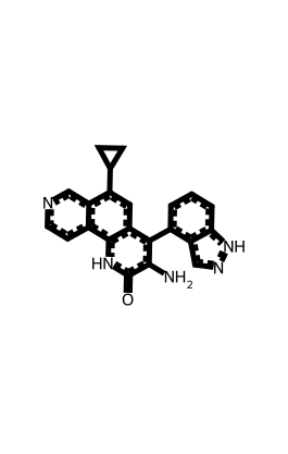 Nc1c(-c2cccc3[nH]ncc23)c2cc(C3CC3)c3cnccc3c2[nH]c1=O